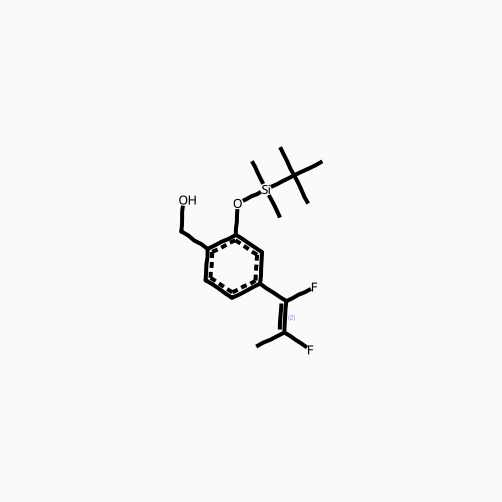 C/C(F)=C(/F)c1ccc(CO)c(O[Si](C)(C)C(C)(C)C)c1